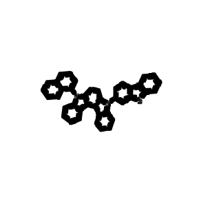 c1ccc2c(-n3c4ccccc4c4c5c6ccccc6n(-c6ccc7c(c6)sc6ccccc67)c5ccc43)cccc2c1